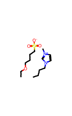 CCCCn1cc[n+](C)c1.CCOCCCCS(=O)(=O)[O-]